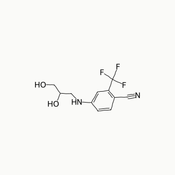 N#Cc1ccc(NCC(O)CO)cc1C(F)(F)F